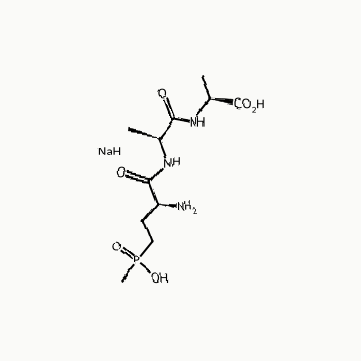 C[C@H](NC(=O)[C@H](C)NC(=O)[C@@H](N)CCP(C)(=O)O)C(=O)O.[NaH]